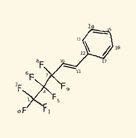 FC(F)(F)C(F)(F)C(F)(F)C=Cc1ccccc1